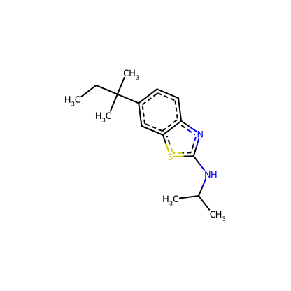 CCC(C)(C)c1ccc2nc(NC(C)C)sc2c1